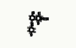 F.F.F.[S]c1ccc(Cl)cc1.[S]c1ccc(Cl)cc1.[S]c1ccc(Cl)cc1